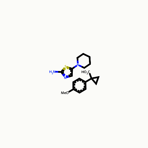 COc1ccc(C2(C(=O)O)CC2)cc1.Nc1ncc(N2CCCCC2)s1